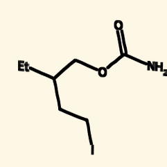 CCC(CCI)COC(N)=O